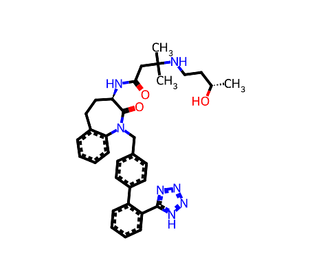 C[C@H](O)CCNC(C)(C)CC(=O)N[C@@H]1CCc2ccccc2N(Cc2ccc(-c3ccccc3-c3nnn[nH]3)cc2)C1=O